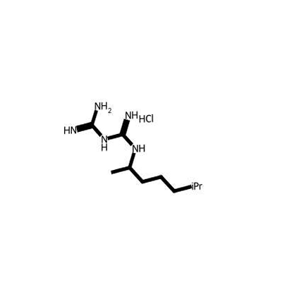 CC(C)CCCC(C)NC(=N)NC(=N)N.Cl